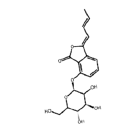 C/C=C/C=C1\OC(=O)c2c(O[C@@H]3OC(CO)[C@@H](O)[C@H](O)C3O)cccc21